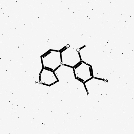 COc1cc(Br)c(F)cc1-n1c2c(ccc1=O)CNCC2